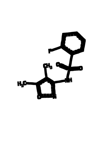 Cc1onc(NS(=O)(=O)c2ccccc2F)c1C